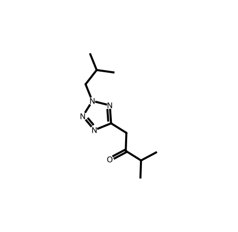 CC(C)Cn1nnc(CC(=O)C(C)C)n1